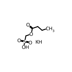 CCCC(=O)OCS(=O)(=O)O.[KH]